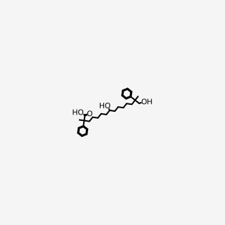 CC(CO)(CCCCCC(O)CCCCCC(C)(C(=O)O)c1ccccc1)c1ccccc1